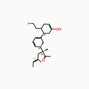 C/C=C(\C)C[C@@](C)(C(C)=O)[C@H]1C=CC=C([C@@H]2CC(O)=CCC2CCI)C1